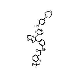 O=C(Cc1cccc(C(F)(F)F)c1F)Nc1cccc(-c2nc3sccn3c2-c2ccnc(Nc3ccc(N4CCOCC4)cc3)n2)c1